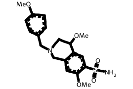 COc1ccc(CN2Cc3cc(OC)c(S(N)(=O)=O)cc3C(OC)C2)cc1